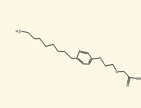 CCCCCCCCCc1ccc(OCCOCC(=O)O)cc1